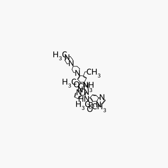 CCC1=CC(Nc2nc(Nc3ccc4nccnc4c3P(C)(C)=O)c3cccn3n2)C(C)(OC)C=C1N1CCC(N2CCN(C)CC2)CC1